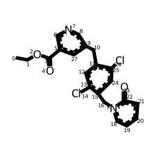 CCOC(=O)c1cncc(Cc2cc(Cl)c(Cn3ccccc3=O)cc2Cl)c1